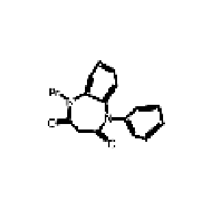 CC(C)N1C(=O)CC(=O)N(c2ccccc2)c2ccccc21